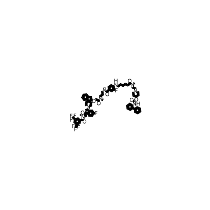 CN(CCN1CCC(OC(=O)Nc2ccccc2-c2ccccc2)CC1)C(=O)CCCCCNc1ccc(C(=O)N(C)CCCN(C)C(=O)CO[C@H]2Cc3ccccc3C23CCN(CC[C@]2(c4ccc(F)cc4)CN(C(=O)c4cc(C(F)(F)F)cc(C(F)(F)F)c4)CO2)CC3)cc1F